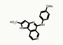 COc1ccc(Nc2nc3cc(C(=O)O)[nH]c3c3ccncc23)cc1